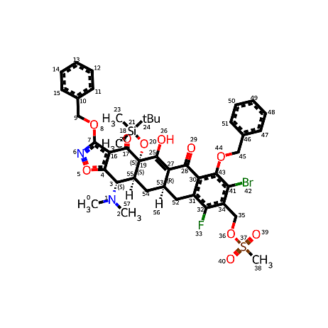 CN(C)[C@@H]1c2onc(OCc3ccccc3)c2C(=O)[C@@]2(O[Si](C)(C)C(C)(C)C)C(O)=C3C(=O)c4c(c(F)c(COS(C)(=O)=O)c(Br)c4OCc4ccccc4)C[C@H]3C[C@@H]12